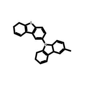 CC1=CC2C3=C(CCC=C3)N(c3ccc4sc5c(c4c3)C=CCC5)C2C=C1